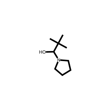 CC(C)(C)C(O)N1CCCC1